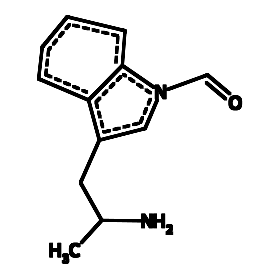 CC(N)Cc1cn(C=O)c2ccccc12